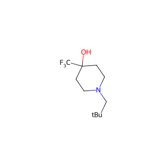 CC(C)(C)CN1CCC(O)(C(F)(F)F)CC1